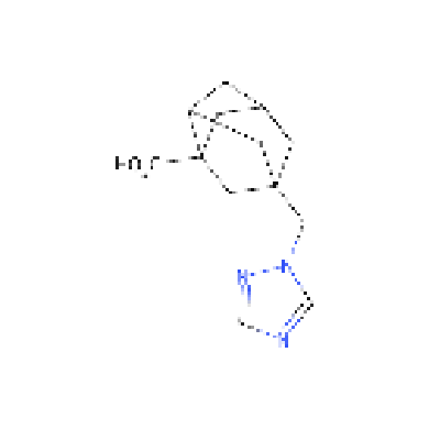 O=C(O)C12CC3CC1CC(Cn1cncn1)(C3)C2